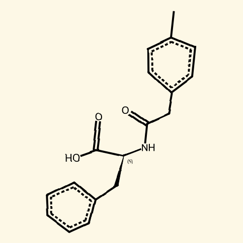 Cc1ccc(CC(=O)N[C@@H](Cc2ccccc2)C(=O)O)cc1